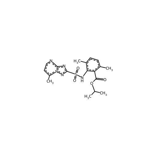 Cc1ccc(C)c(C(=O)OC(C)C)c1NS(=O)(=O)c1nc2nccc(C)n2n1